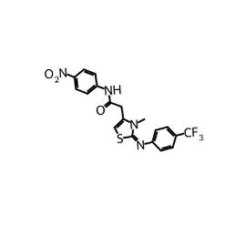 Cn1c(CC(=O)Nc2ccc([N+](=O)[O-])cc2)cs/c1=N/c1ccc(C(F)(F)F)cc1